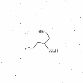 CCCCCCCCCCCC(CCCCCCCCCCC)C(=O)O